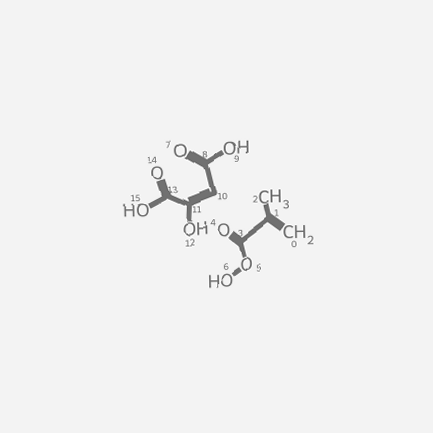 C=C(C)C(=O)OO.O=C(O)/C=C(/O)C(=O)O